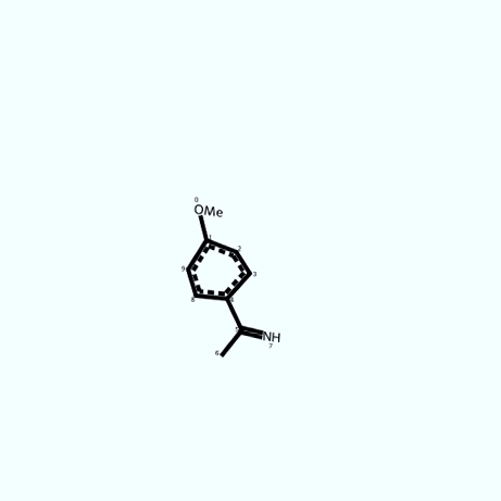 COc1ccc(C(C)=N)cc1